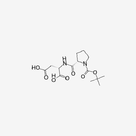 CC(C)(C)OC(=O)N1CCC[C@H]1C(=O)N[C@@H](CC(=O)O)C(=O)O